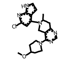 COC1CCN(c2ncnc3c2CN(c2cc(Cl)nc4[nH]ccc24)C(C)C3)CC1